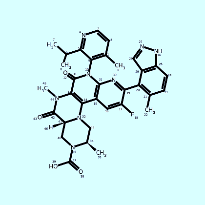 Cc1ccnc(C(C)C)c1-n1c(=O)c2c(c3cc(F)c(-c4c(C)ccc5[nH]ncc45)nc31)N1C[C@@H](C)N(C(=O)O)C[C@@H]1C(=O)N2C